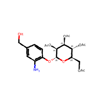 CC(=O)OC[C@H]1O[C@H](Oc2ccc(CO)cc2N)[C@@H](OC(C)=O)[C@@H](OC(C)=O)[C@@H]1OC(C)=O